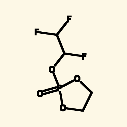 O=P1(OC(F)C(F)F)OCCO1